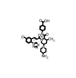 CC1CC(N2CCC(N)CC2)CN(C(=O)/C=C/c2cc(Cl)ccc2-n2cnnn2)C1C(=O)Nc1ccc(C(=O)O)cc1